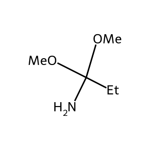 [CH2]CC(N)(OC)OC